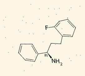 N[C@H](CCc1cc[c]cc1F)c1ccccc1